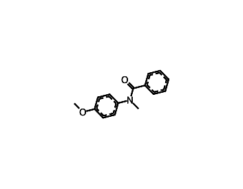 COc1ccc(N(C)C(=O)c2ccccc2)cc1